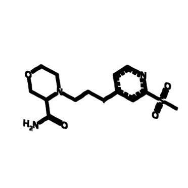 CS(=O)(=O)c1cc([CH]CCN2CCOCC2C(N)=O)ccn1